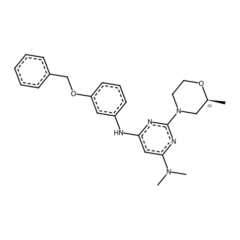 C[C@H]1CN(c2nc(Nc3cccc(OCc4ccccc4)c3)cc(N(C)C)n2)CCO1